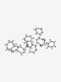 c1ccc(-c2cc(-c3cccc4c3c3ccccc3n4-c3ccc4oc5ccccc5c4c3)nc(-c3ccccc3)n2)cc1